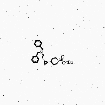 CC(C)(C)OC(=O)N1CCC([C@H]2C[C@@H]2CCN(Cc2ccccc2)Cc2ccccc2)CC1